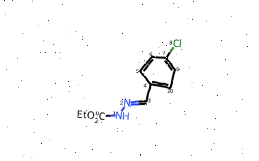 CCOC(=O)N/N=C/c1ccc(Cl)cc1